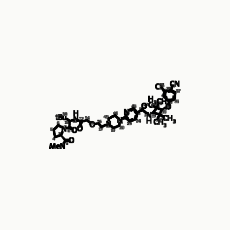 CNC(=O)[C@H]1CCCN1C(=O)C(NC(=O)COCCN1CCN(c2ccc(C(=O)N[C@H]3C(C)(C)[C@H](Oc4ccc(C#N)c(Cl)c4)C3(C)C)cn2)CC1)C(C)(C)C